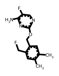 Cc1cc(CF)c(COc2ncc(F)c(N)n2)cc1C